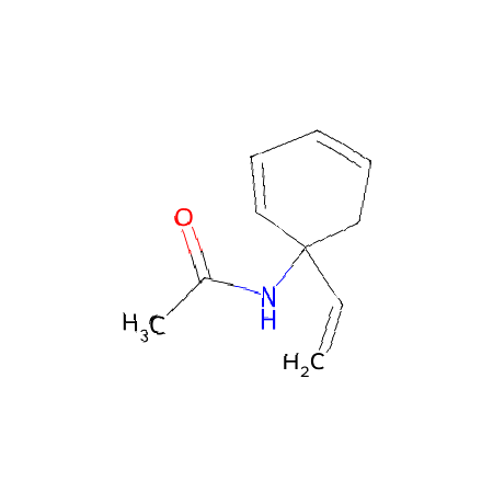 C=CC1(NC(C)=O)C=CC=CC1